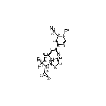 CC1=CC(c2ccc(F)c(C#N)c2)=NC2=CCN(C(C3CC3)C(F)(F)F)N12